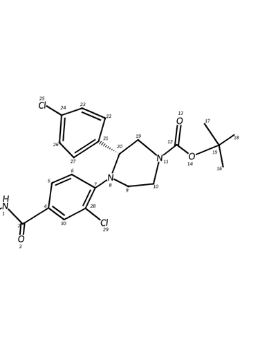 CNC(=O)c1ccc(N2CCN(C(=O)OC(C)(C)C)C[C@H]2c2ccc(Cl)cc2)c(Cl)c1